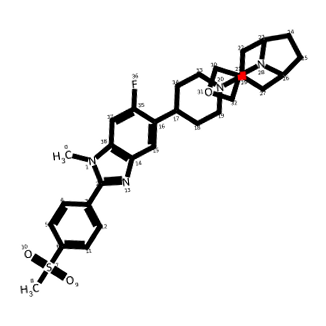 Cn1c(-c2ccc(S(C)(=O)=O)cc2)nc2cc(C3CCN(C4CC5CCC(C4)N5C4COC4)CC3)c(F)cc21